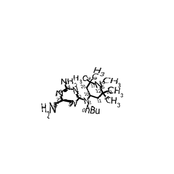 CCCCN(c1nc(N)nc(N)n1)C1CC(C)(C)N(C)C(C)(C)C1